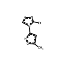 CCc1nncn1-c1cc(C)on1